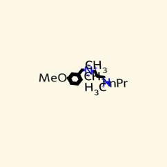 CCCN(C)CCC[N+](C)(C)Cc1cccc(OC)c1